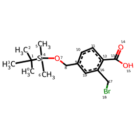 CC(C)(C)[Si](C)(C)OCc1ccc(C(=O)O)c(CBr)c1